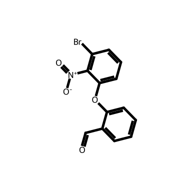 O=Cc1ccccc1Oc1cccc(Br)c1[N+](=O)[O-]